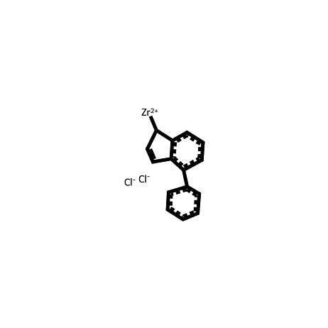 [Cl-].[Cl-].[Zr+2][CH]1C=Cc2c(-c3ccccc3)cccc21